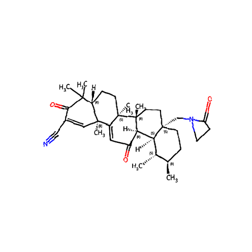 C[C@@H]1[C@H]2[C@H]3C(=O)C=C4[C@@]5(C)C=C(C#N)C(=O)C(C)(C)[C@@H]5CC[C@@]4(C)[C@]3(C)CC[C@@]2(CN2CCC2=O)CC[C@H]1C